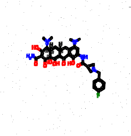 CN(C)c1cc(NC(=O)C2CN(Cc3ccc(F)cc3)C2)c(O)c2c1C[C@H]1C[C@H]3[C@H](N(C)C)C(O)=C(C(N)=O)C(=O)[C@@]3(O)C(O)=C1C2=O